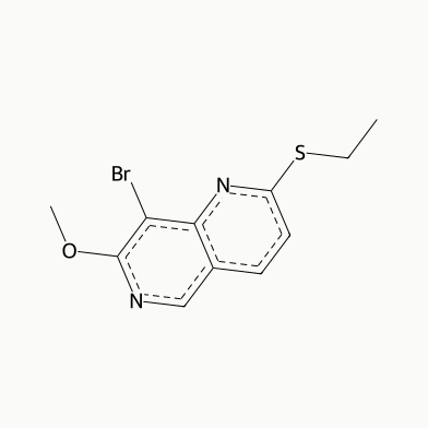 CCSc1ccc2cnc(OC)c(Br)c2n1